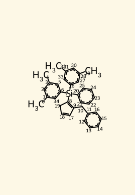 Cc1cc(C)cc([Si](C2=C(Cc3ccccc3)C=CC2)(c2ccccc2)c2cc(C)cc(C)c2)c1